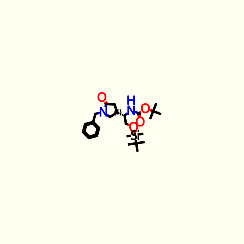 CC(C)(C)OC(=O)NC(CO[Si](C)(C)C(C)(C)C)[C@H]1CC(=O)N(Cc2ccccc2)C1